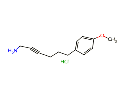 COc1ccc(CCCC#CCN)cc1.Cl